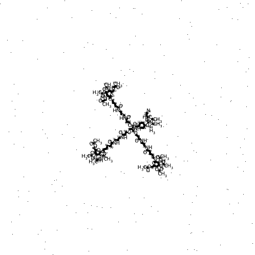 CC(=O)CNC1C(OCCCCC(=O)NCCCNC(=O)CCOCC(COCCC(=O)NCCCNC(=O)CCCCOC2OC(COC(C)=O)C(OC(C)=O)C(OC(C)=O)C2NC(C)=O)(COCCC(=O)NCCCNC(=O)CCCCOC2OC(COC(C)=O)C(OC(C)=O)C(OC(C)=O)C2NC(C)=O)NC(=O)C2CCC(OP(OCCC#N)N(C(C)C)C(C)C)CC2)OC(COC(C)=O)C(OC(C)=O)C1OC(C)=O